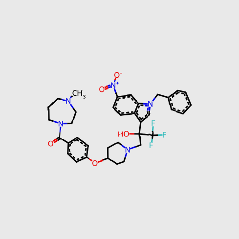 CN1CCCN(C(=O)c2ccc(OC3CCN(CC(O)(c4cn(Cc5ccccc5)c5cc([N+](=O)[O-])ccc45)C(F)(F)F)CC3)cc2)CC1